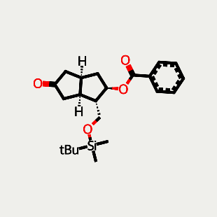 CC(C)(C)[Si](C)(C)OC[C@@H]1[C@H]2CC(=O)C[C@H]2C[C@H]1OC(=O)c1ccccc1